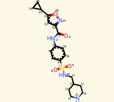 O=C(Nc1ccc(S(=O)(=O)NCC2CCNCC2)cc1)c1cc(C2CC2)on1